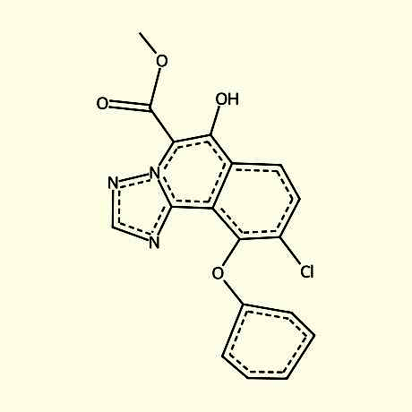 COC(=O)c1c(O)c2ccc(Cl)c(Oc3ccccc3)c2c2ncnn12